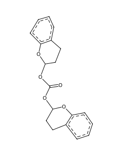 O=C(OC1CCc2ccccc2O1)OC1CCc2ccccc2O1